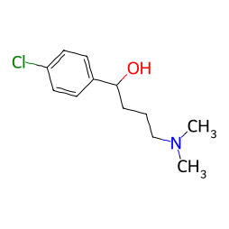 CN(C)CCCC(O)c1ccc(Cl)cc1